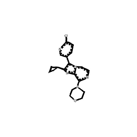 Clc1ccc(-c2c(C3CC3)nc3c(N4CCOCC4)nccn23)cn1